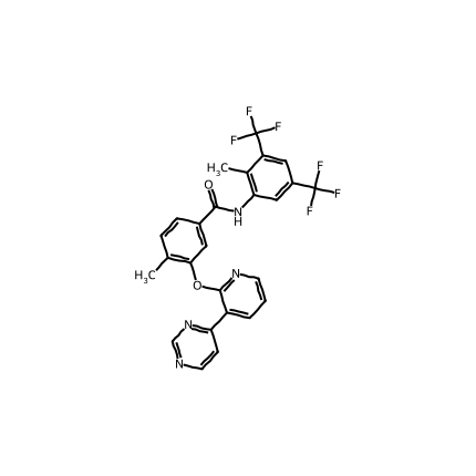 Cc1ccc(C(=O)Nc2cc(C(F)(F)F)cc(C(F)(F)F)c2C)cc1Oc1ncccc1-c1ccncn1